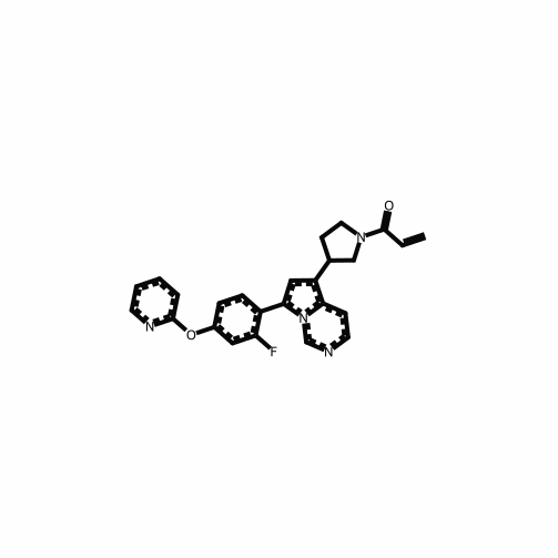 C=CC(=O)N1CCC(c2cc(-c3ccc(Oc4ccccn4)cc3F)n3cnccc23)C1